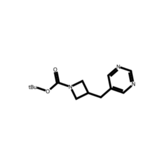 CC(C)(C)OC(=O)N1CC(Cc2cncnc2)C1